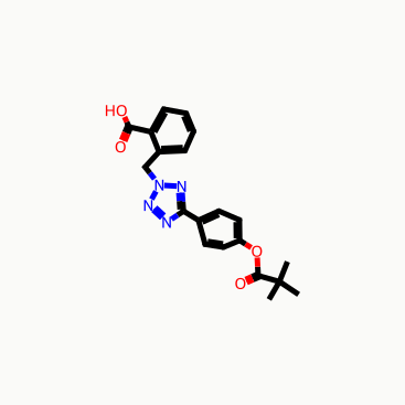 CC(C)(C)C(=O)Oc1ccc(-c2nnn(Cc3ccccc3C(=O)O)n2)cc1